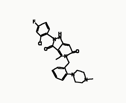 Cc1c2c(=O)n(-c3ccc(F)cc3Cl)[nH]c2cc(=O)n1Cc1ccccc1N1CCN(C)CC1